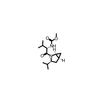 COC(=O)N[C@H](C(=O)N1[C@H](C(C)C)C[C@@H]2C[C@@H]21)C(C)C